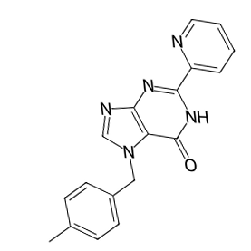 Cc1ccc(Cn2cnc3nc(-c4ccccn4)[nH]c(=O)c32)cc1